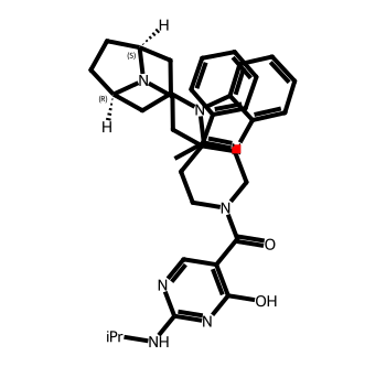 Cc1nc2ccccc2n1C1C[C@H]2CC[C@@H](C1)N2CCC1(c2ccccc2)CCN(C(=O)c2cnc(NC(C)C)nc2O)CC1